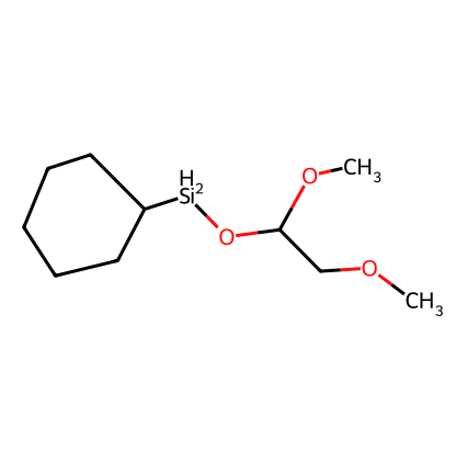 COCC(OC)O[SiH2]C1CCCCC1